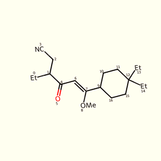 CCC(CC#N)C(=O)/C=C(\OC)C1CCC(CC)(CC)CC1